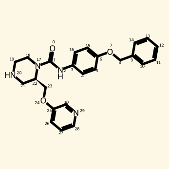 O=C(Nc1ccc(OCc2ccccc2)cc1)N1CCNC[C@@H]1COc1cccnc1